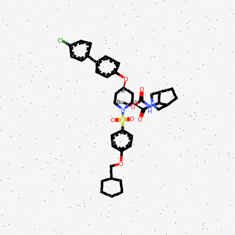 CC(C)(C)OC(=O)NC1C2CCC1CN(C(=O)[C@@H]1C[C@H](Oc3ccc(-c4ccc(Cl)cc4)cc3)CCN1S(=O)(=O)c1ccc(OCC3CCCCC3)cc1)C2